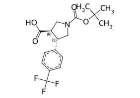 CC(C)(C)OC(=O)N1C[C@H](C(=O)O)[C@@H](c2ccc(C(F)(F)F)cc2)C1